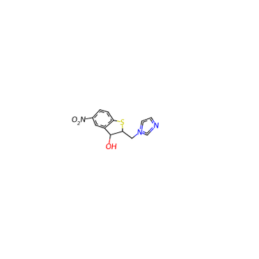 O=[N+]([O-])c1ccc2c(c1)C(O)C(Cn1ccnc1)S2